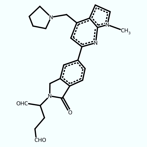 Cn1ccc2c(CN3CCCC3)cc(-c3ccc4c(c3)CN(C(C=O)CCC=O)C4=O)nc21